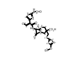 CCSc1nnc(SCC2(C(=O)O)CS[C@@H]3C(NC(=O)C(=CCl)c4csc(NC=O)n4)C(=O)N3C2)s1